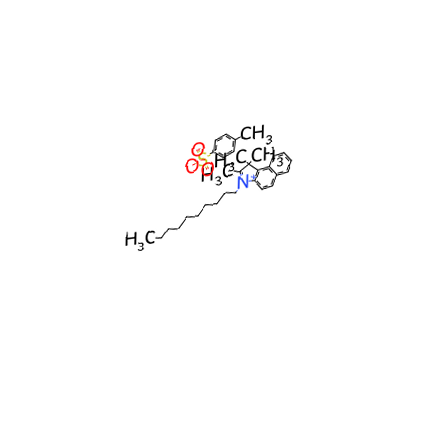 CCCCCCCCCC[N+]1=C(C)C(C)(C)c2c1ccc1ccccc21.Cc1ccc(S(=O)(=O)[O-])cc1